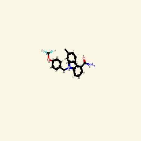 Cc1c[c]c2c3c(C(N)=O)cccc3n(Cc3ccc(OC(F)F)cc3)c2c1